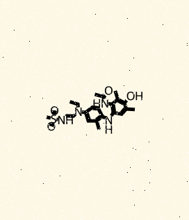 CCN(CCNS(C)(=O)=O)c1ccc(Nc2cc(C)c(O)c(C)c2NC(C)=O)c(C)c1